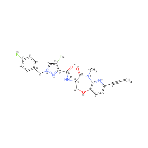 CC#Cc1ccc2c(n1)N(C)C(=O)[C@@H](NC(=O)c1nn(Cc3ccc(F)cc3)cc1F)CO2